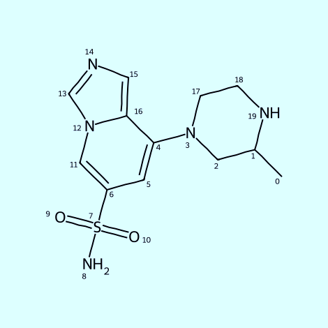 CC1CN(c2cc(S(N)(=O)=O)cn3cncc23)CCN1